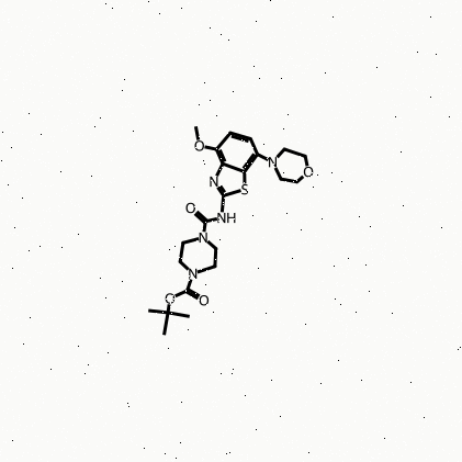 COc1ccc(N2CCOCC2)c2sc(NC(=O)N3CCN(C(=O)OC(C)(C)C)CC3)nc12